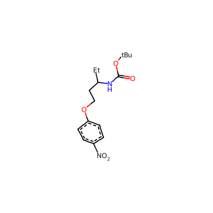 CCC(CCOc1ccc([N+](=O)[O-])cc1)NC(=O)OC(C)(C)C